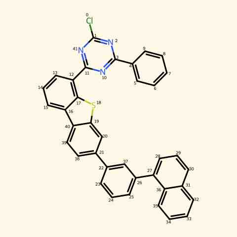 Clc1nc(-c2ccccc2)nc(-c2cccc3c2sc2cc(-c4cccc(-c5cccc6ccccc56)c4)ccc23)n1